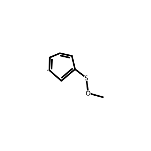 COSc1c[c]ccc1